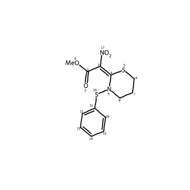 COC(=O)/C(=C1/SCCCN1Sc1ccccc1)[N+](=O)[O-]